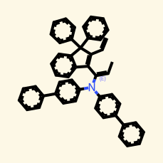 C=CC1=C(/C(=C\C)N(c2ccc(-c3ccccc3)cc2)c2ccc(-c3ccccc3)cc2)c2ccccc2C1(c1ccccc1)c1ccccc1